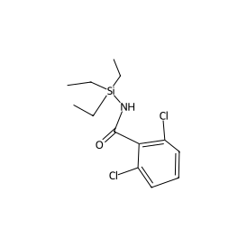 CC[Si](CC)(CC)NC(=O)c1c(Cl)cccc1Cl